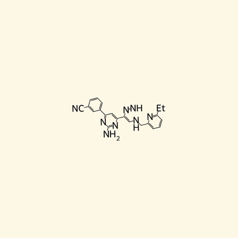 CCc1cccc(CN/C=C(\N=N)c2cc(-c3cccc(C#N)c3)nc(N)n2)n1